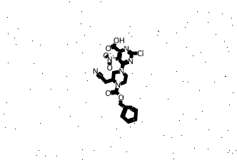 N#CCC1CN(c2nc(Cl)nc(C(=O)O)c2[N+](=O)[O-])CCN1C(=O)OCc1ccccc1